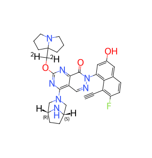 [2H]C([2H])(Oc1nc(N2C[C@H]3CC[C@@H](C2)N3)c2cnn(-c3cc(O)cc4ccc(F)c(C#C)c34)c(=O)c2n1)C12CCCN1CCC2